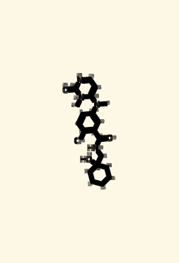 CN(c1ccc(Cl)c(C(=O)NCC2(O)CCCCC2)c1)c1ccnc(=O)n1C